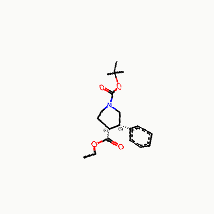 CCOC(=O)[C@@H]1CCN(C(=O)OC(C)(C)C)C[C@@H]1c1ccccc1